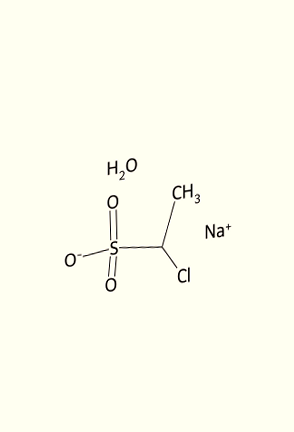 CC(Cl)S(=O)(=O)[O-].O.[Na+]